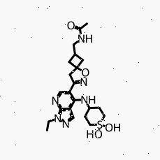 CCn1ncc2c(NC3CCS(O)(O)CC3)c(C3=NOC4(C3)CC(CNC(C)=O)C4)cnc21